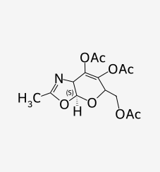 CC(=O)OCC1O[C@H]2OC(C)=NC2C(OC(C)=O)=C1OC(C)=O